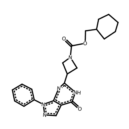 O=C(OCC1CCCCC1)N1CC(c2nc3c(cnn3-c3ccccc3)c(=O)[nH]2)C1